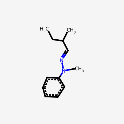 CCC(C)/C=N/N(C)c1ccccc1